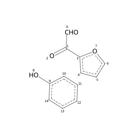 O=CC(=O)c1ccco1.Oc1ccccc1